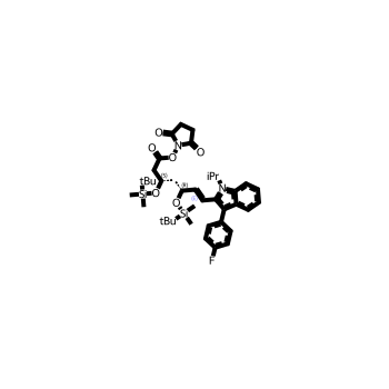 CC(C)n1c(/C=C/[C@@H](C[C@@H](CC(=O)ON2C(=O)CCC2=O)O[Si](C)(C)C(C)(C)C)O[Si](C)(C)C(C)(C)C)c(-c2ccc(F)cc2)c2ccccc21